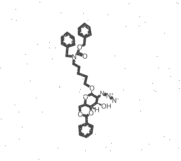 [N-]=[N+]=NC1[C@@H](OCCCCCN(Cc2ccccc2)C(=O)OCc2ccccc2)OC2COC(c3ccccc3)O[C@H]2[C@@H]1O